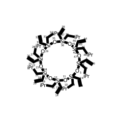 C=C[Si]1(CC(C)C)O[Si](C=C)(CC(C)C)O[Si](C=C)(CC(C)C)O[Si](C=C)(CC(C)C)O[Si](C=C)(CC(C)C)O[Si](C=C)(CC(C)C)O[Si](C=C)(CC(C)C)O[Si](C=C)(CC(C)C)O1